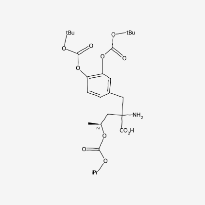 CC(C)OC(=O)O[C@@H](C)CC(N)(Cc1ccc(OC(=O)OC(C)(C)C)c(OC(=O)OC(C)(C)C)c1)C(=O)O